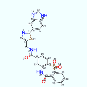 O=C(NCc1cnc(-c2ccc3[nH]cnc3c2)s1)c1ccc2c(c1)NC(=O)c1ccccc1S2(=O)=O